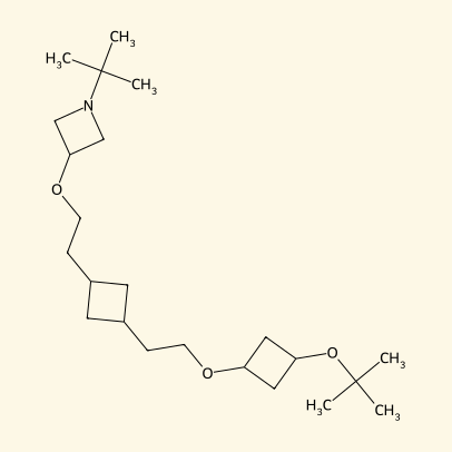 CC(C)(C)OC1CC(OCCC2CC(CCOC3CN(C(C)(C)C)C3)C2)C1